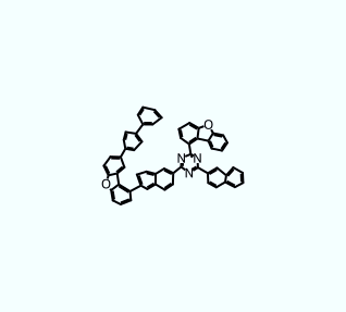 c1ccc(-c2ccc(-c3ccc4oc5cccc(-c6ccc7cc(-c8nc(-c9ccc%10ccccc%10c9)nc(-c9cccc%10oc%11ccccc%11c9%10)n8)ccc7c6)c5c4c3)cc2)cc1